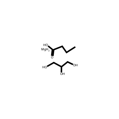 CCCC(=O)O.OCC(O)CO.[MgH2]